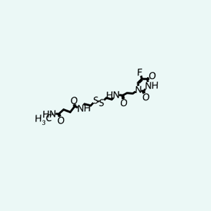 CNC(=O)CCC(=O)NCCSSCCNC(=O)CCn1cc(F)c(=O)[nH]c1=O